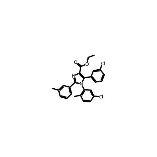 CCOC(=O)c1nc(-c2cccc(C)c2)n(-c2cc(Cl)ccc2C)c1-c1cccc(Cl)c1